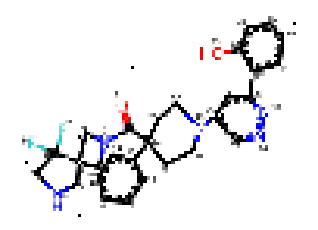 O=C(N1CC2(CNCC2(F)F)C1)C1(c2ccccc2)CCN(c2cnnc(-c3ccccc3O)c2)CC1